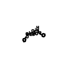 C[C@H](NC(=O)OCc1ccccc1)c1nnc([C@H](C)NC(=O)OCc2ccccc2)o1